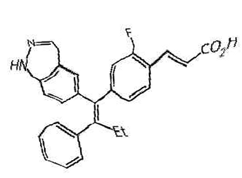 CCC(=C(c1ccc(C=CC(=O)O)c(F)c1)c1ccc2[nH]ncc2c1)c1ccccc1